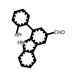 CCCc1ccccc1-c1cc(C=O)cc2c1[nH]c1ccccc12